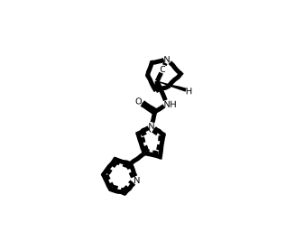 O=C(N[C@H]1CN2CCC1CC2)n1ccc(-c2ccccn2)c1